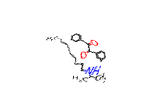 CCCCCCCCCNC(C)C.O=C(C(=O)c1ccccc1)c1ccccc1